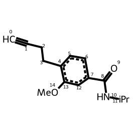 C#CCCc1ccc(C(=O)NC(C)C)cc1OC